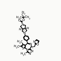 Cc1sc2c(c1C)C(c1ccc(N3C[C@H]4CN(C(=O)OC(C)(C)C)C[C@H]4C3)cc1)=N[C@@H](Cc1ncco1)c1nnc(C)n1-2